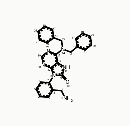 NCc1cc[c]cc1-n1c(=O)[nH]c2c(N(Cc3ccccc3)Cc3ccccc3)ncnc21